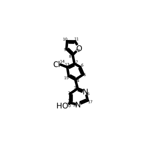 Oc1cc(-c2ccc(-c3ccco3)c(Cl)c2)ncn1